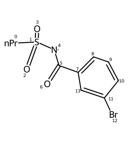 CCCS(=O)(=O)[N]C(=O)c1cccc(Br)c1